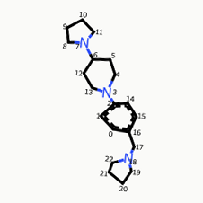 c1cc(N2CCC(N3CCCC3)CC2)ccc1CN1CCCC1